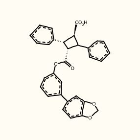 O=C(O)[C@H]1C(c2ccccc2)[C@H](C(=O)Oc2cccc(-c3ccc4c(c3)OCO4)c2)[C@@H]1c1ccccc1